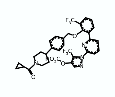 O=C(O)Oc1cnn(-c2cccc(-c3cccc(C(F)(F)F)c3OCc3ccc(C4CCN(C(=O)C5CC5)CC4)cc3)n2)c1C(F)(F)F